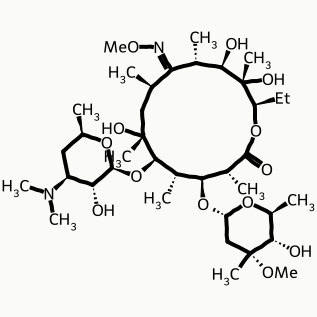 CC[C@H]1OC(=O)[C@H](C)[C@@H](O[C@H]2C[C@@](C)(OC)[C@@H](O)[C@H](C)O2)[C@H](C)[C@@H](O[C@@H]2O[C@H](C)C[C@H](N(C)C)[C@H]2O)[C@](C)(O)C[C@@H](C)/C(=N\OC)[C@H](C)[C@@H](O)[C@]1(C)O